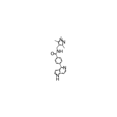 Cc1nn(C)c(C)c1CNC(=O)c1ccc(-c2nccc3[nH]ccc23)cc1